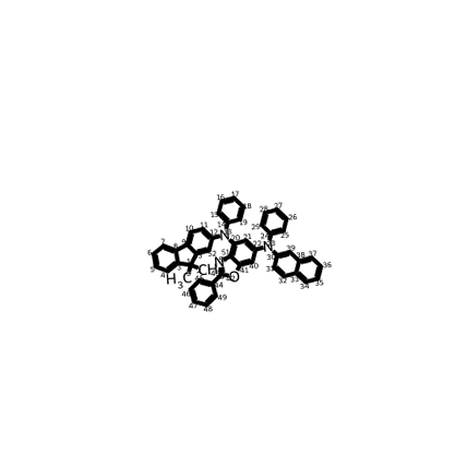 CC1(C)c2ccccc2-c2ccc(N(c3ccccc3)c3cc(N(c4ccccc4)c4ccc5ccccc5c4)cc4oc(-c5ccccc5)nc34)cc21